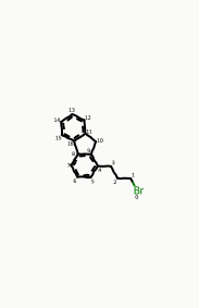 BrCCCc1cccc2c1Cc1ccccc1-2